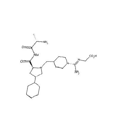 C[C@H](N)C(=O)NC(=O)[C@@H]1CC(C2CCCCC2)CN1CC1CCN(C(N)=NCC(=O)O)CC1